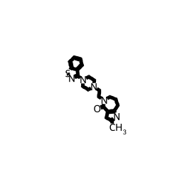 CC1=NC2=C(C1)C(=O)N(CCN1CCN(c3nsc4ccccc34)CC1)CCC2